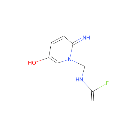 C=C(F)NCn1cc(O)ccc1=N